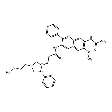 COCCN1C[C@@H](CCC(=O)Nc2cc3cc(OC)c(NC(C)=O)cc3nc2-c2ccccc2)[C@H](c2ccccc2)C1